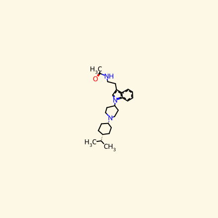 CC(=O)NCCc1cn(C2CCN([C@H]3CC[C@@H](C(C)C)CC3)CC2)c2ccccc12